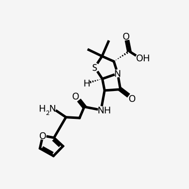 CC1(C)S[C@@H]2C(NC(=O)CC(N)c3ccco3)C(=O)N2[C@H]1C(=O)O